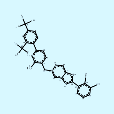 Oc1nc(-c2ccc(C(F)(F)F)cc2C(F)(F)F)ccc1Cn1cc2nc(-c3cccc(F)c3F)nc-2cn1